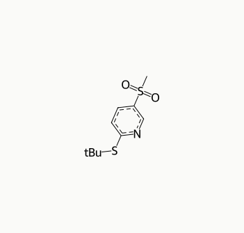 CC(C)(C)Sc1ccc(S(C)(=O)=O)cn1